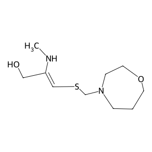 CN/C(=C\SCN1CCCOCC1)CO